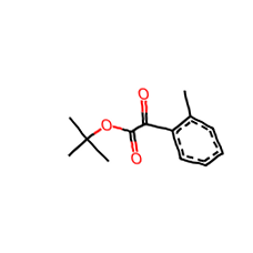 Cc1ccccc1C(=O)C(=O)OC(C)(C)C